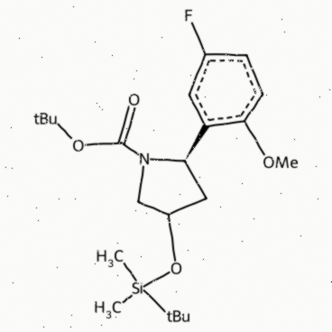 COc1ccc(F)cc1[C@H]1CC(O[Si](C)(C)C(C)(C)C)CN1C(=O)OC(C)(C)C